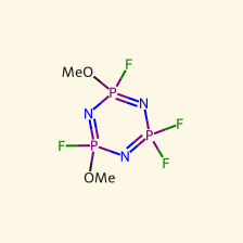 COP1(F)=NP(F)(F)=NP(F)(OC)=N1